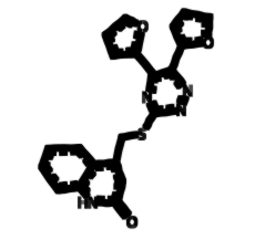 O=c1cc(CSc2nnc(-c3ccco3)c(-c3ccco3)n2)c2ccccc2[nH]1